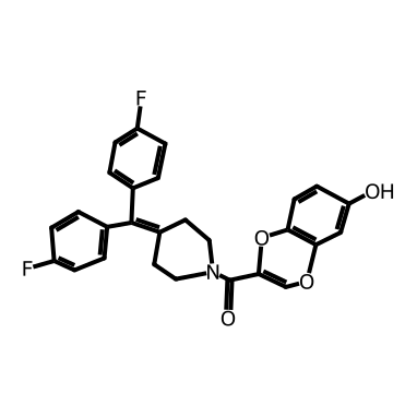 O=C(C1=COc2cc(O)ccc2O1)N1CCC(=C(c2ccc(F)cc2)c2ccc(F)cc2)CC1